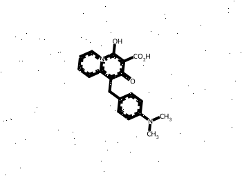 CN(C)c1ccc(Cc2c(=O)c(C(=O)O)c(O)n3ccccc23)cc1